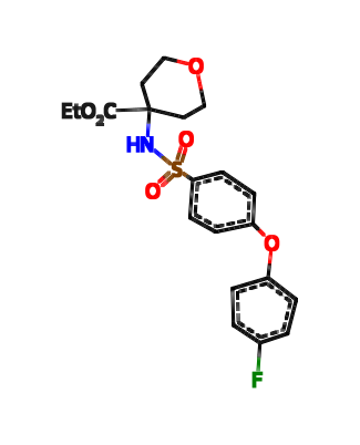 CCOC(=O)C1(NS(=O)(=O)c2ccc(Oc3ccc(F)cc3)cc2)CCOCC1